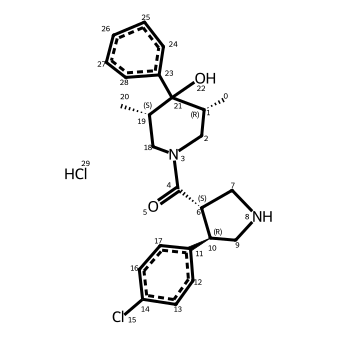 C[C@@H]1CN(C(=O)[C@@H]2CNC[C@H]2c2ccc(Cl)cc2)C[C@H](C)C1(O)c1ccccc1.Cl